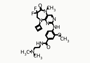 COc1cc(C(=O)NCCN(C)C)ccc1Nc1ncc2c(n1)N(C1=CC=C1)CC(F)(F)C(=O)N2C